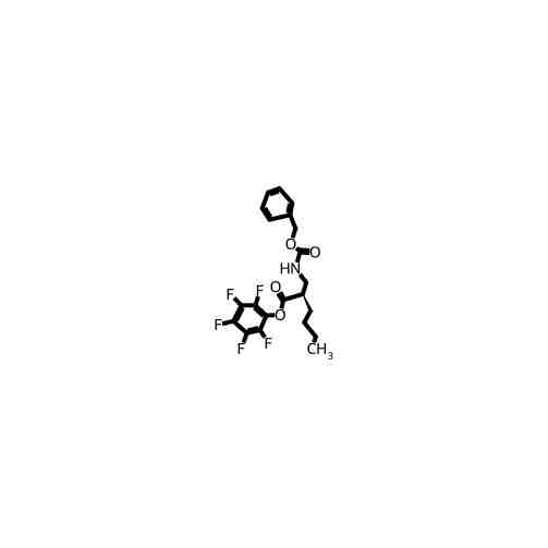 CCCC[C@H](CNC(=O)OCc1ccccc1)C(=O)Oc1c(F)c(F)c(F)c(F)c1F